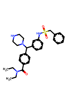 CCN(CC)C(=O)c1ccc(C(c2cccc(NS(=O)(=O)Cc3ccccc3)c2)N2CCNCC2)cc1